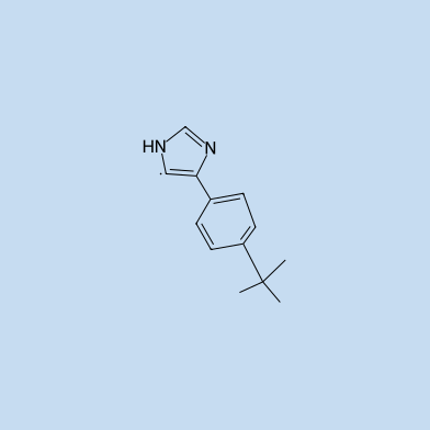 CC(C)(C)c1ccc(-c2[c][nH]cn2)cc1